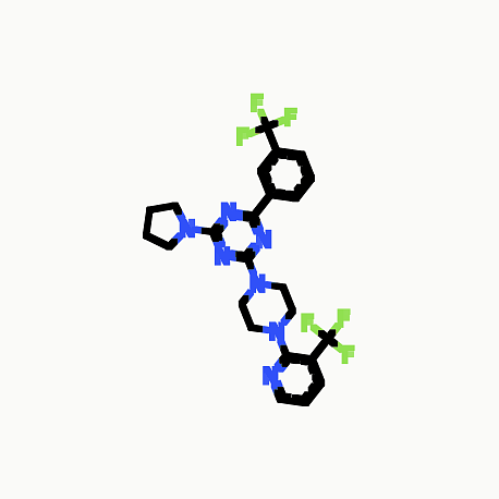 FC(F)(F)c1cccc(-c2nc(N3CCCC3)nc(N3CCN(c4ncccc4C(F)(F)F)CC3)n2)c1